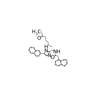 CCC(=O)CCCCC[C@H](NC(=O)Cc1cccc2ccccc12)c1ncc(-c2ccc3ccccc3c2)[nH]1